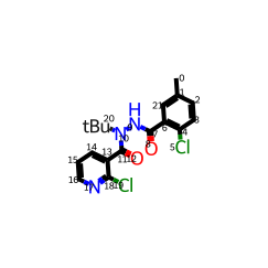 Cc1ccc(Cl)c(C(=O)NN(C(=O)c2cccnc2Cl)C(C)(C)C)c1